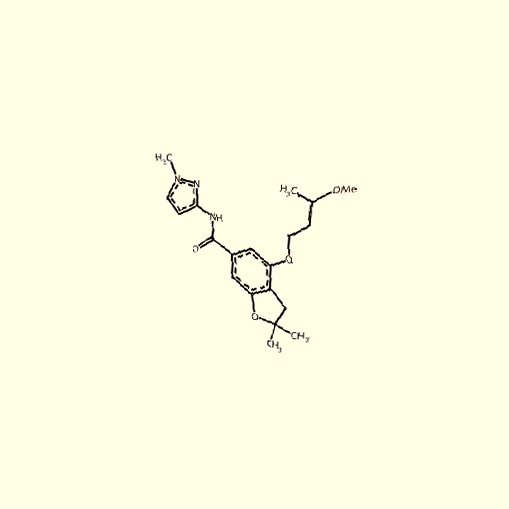 COC(C)CCOc1cc(C(=O)Nc2ccn(C)n2)cc2c1CC(C)(C)O2